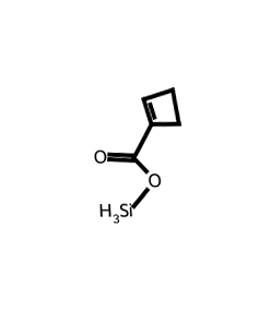 O=C(O[SiH3])C1=CCC1